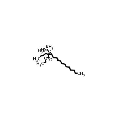 CCCCCCCCCC=CCCC(CCCC)(O[SiH](C)C)C(=O)OCC